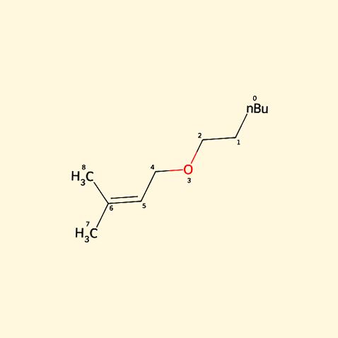 CCCCCCOCC=C(C)C